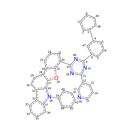 c1ccc(-c2cccc(-c3nc(-c4cccnc4)nc(-c4cccc5c4oc4c5ccc5c6ccccc6n(-c6ccccc6)c54)n3)c2)cc1